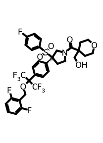 O=C(N1CC[C@](c2ccc(C(OCc3c(F)cccc3F)(C(F)(F)F)C(F)(F)F)cc2)(S(=O)(=O)c2ccc(F)cc2)C1)C1(CO)CCOCC1